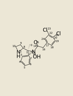 C[C@](c1ccccc1)(C1CCN1)N(O)C(=O)Cc1ccc(Cl)c(Cl)c1